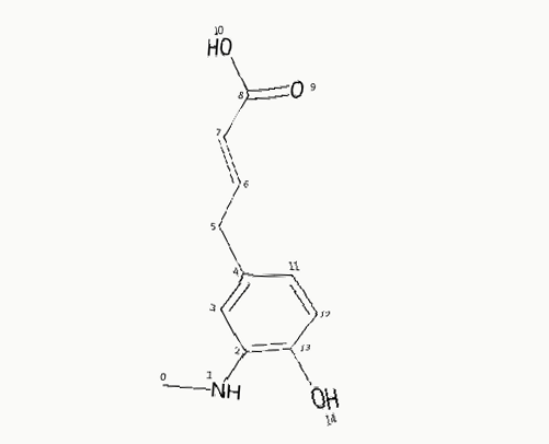 CNc1cc(CC=CC(=O)O)ccc1O